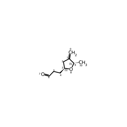 C=C1C[C@H](CCC=O)O[C@H]1C